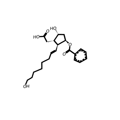 O=C(O)C[C@H]1[C@H](C=CCCCCCCO)[C@H](OC(=O)c2ccccc2)C[C@H]1O